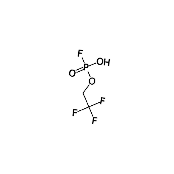 O=P(O)(F)OCC(F)(F)F